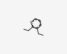 CCc1bcccc1CC